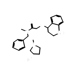 CN(C(=O)COC1CCNc2ccccc21)[C@H](CN1CC[C@H](O)C1)c1ccccc1